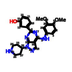 COc1ccc(Nc2nc(-c3cccc(O)c3)nc3c2cnn3C2CCNCC2)cc1OC